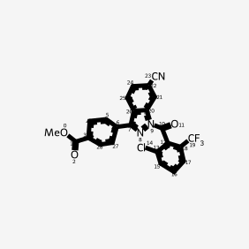 COC(=O)c1ccc(-c2nn(C(=O)c3c(Cl)cccc3C(F)(F)F)c3cc(C#N)ccc23)cc1